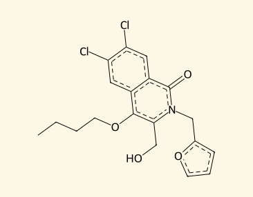 CCCCOc1c(CO)n(Cc2ccco2)c(=O)c2cc(Cl)c(Cl)cc12